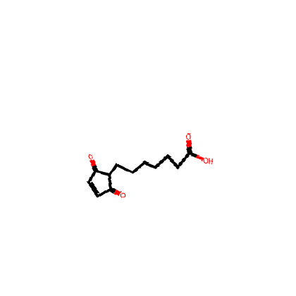 O=C(O)CCCCCCC1C(=O)C=CC1=O